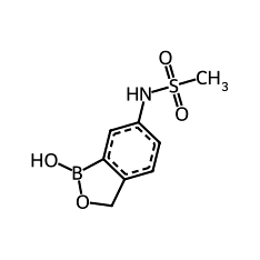 CS(=O)(=O)Nc1ccc2c(c1)B(O)OC2